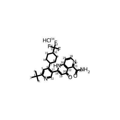 CC(C)(C)c1cc(C2CCC(C(F)(F)F)CC2)c(-c2cc(=O)c3c(C(N)=O)nccc3[nH]2)cn1.Cl